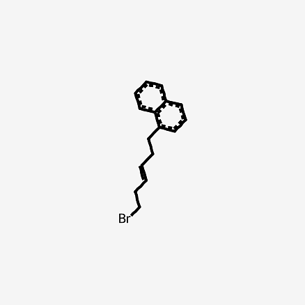 BrCCC=CCCc1cccc2ccccc12